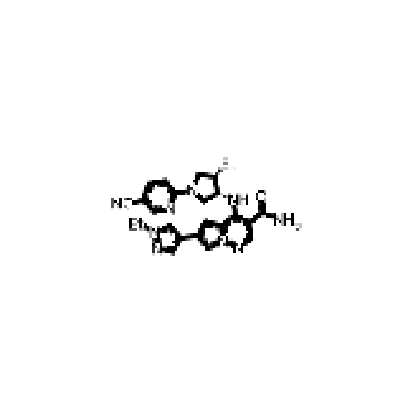 CC[C@@H]1CN(c2ccc(C#N)cn2)C[C@H]1Nc1c(C(N)=O)cnn2cc(-c3cnn(CC)c3)cc12